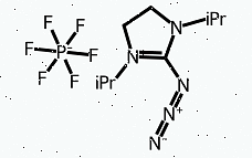 CC(C)N1CC[N+](C(C)C)=C1N=[N+]=[N-].F[P-](F)(F)(F)(F)F